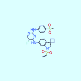 C=CS(=O)(=O)N1CC2(CCC2)c2ccc(Nc3nc(Nc4ccc(S(C)(=O)=O)cc4)ncc3F)cc21